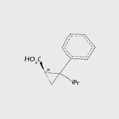 CC(C)C1(c2ccccc2)C[C@H]1C(=O)O